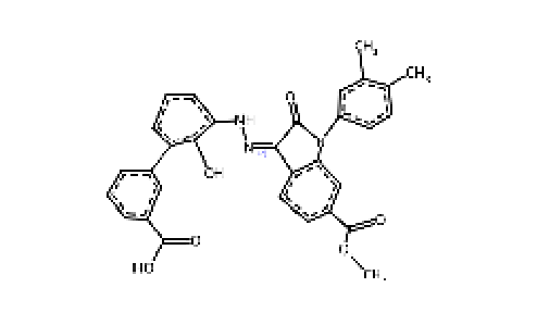 COC(=O)c1ccc2c(c1)N(c1ccc(C)c(C)c1)C(=O)/C2=N\Nc1cccc(-c2cccc(C(=O)O)c2)c1O